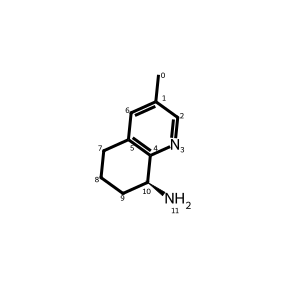 Cc1cnc2c(c1)CCC[C@@H]2N